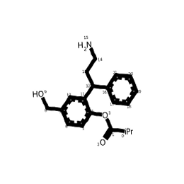 CC(C)C(=O)Oc1ccc(CO)cc1C(CCN)c1ccccc1